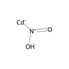 O=[N+](O)[Cd-]